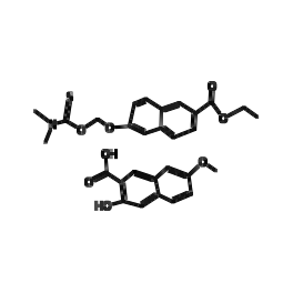 CCOC(=O)c1ccc2cc(OCOC(=S)N(C)C)ccc2c1.COc1ccc2cc(O)c(C(=O)O)cc2c1